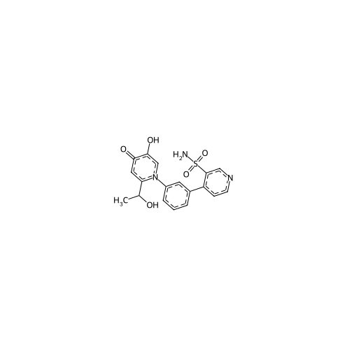 CC(O)c1cc(=O)c(O)cn1-c1cccc(-c2ccncc2S(N)(=O)=O)c1